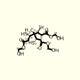 CC([C@@H](S)CC(=O)OCO)([C@@H](S)CC(=O)OCO)[C@@H](S)CC(=O)OCO